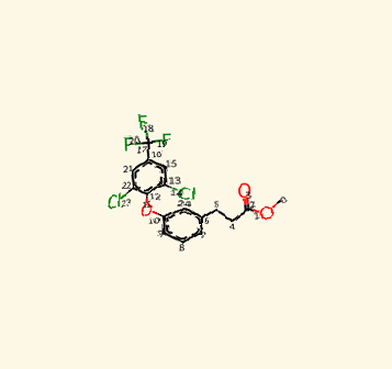 COC(=O)CCc1cccc(Oc2c(Cl)cc(C(F)(F)F)cc2Cl)c1